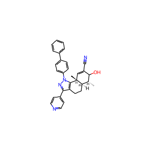 C[C@H]1C(O)C(C#N)=C[C@@]2(C)c3c(c(-c4ccncc4)nn3-c3ccc(-c4ccccc4)cc3)CC[C@H]12